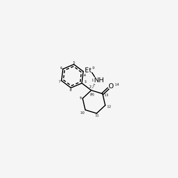 CCN[C@@]1(c2ccccc2)CCCCC1=O